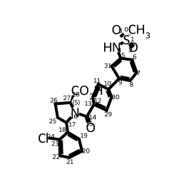 CS(=O)(=O)Nc1cccc(-c2ccc(C(=O)N3C(c4ccccc4Cl)CC[C@H]3C(=O)O)cc2)c1